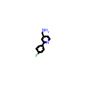 NCc1ccnc(-c2ccc(F)cc2)c1